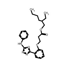 CCCCC(CC)COC(=O)CCSc1ccccc1-c1nnc(Nc2ccccc2)o1